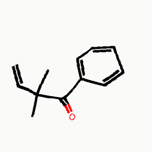 C=CC(C)(C)C(=O)c1ccccc1